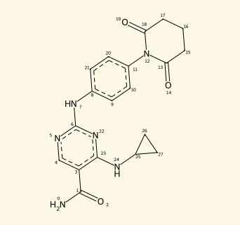 NC(=O)c1cnc(Nc2ccc(N3C(=O)CCCC3=O)cc2)nc1NC1CC1